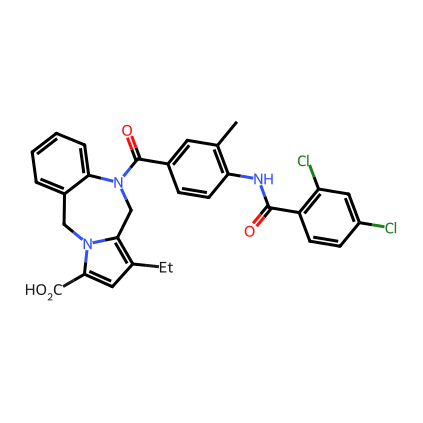 CCc1cc(C(=O)O)n2c1CN(C(=O)c1ccc(NC(=O)c3ccc(Cl)cc3Cl)c(C)c1)c1ccccc1C2